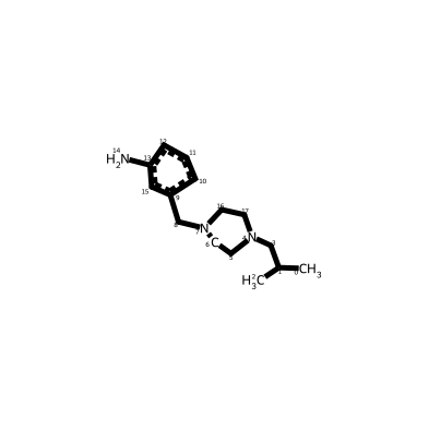 C[C](C)CN1CCN(Cc2cccc(N)c2)CC1